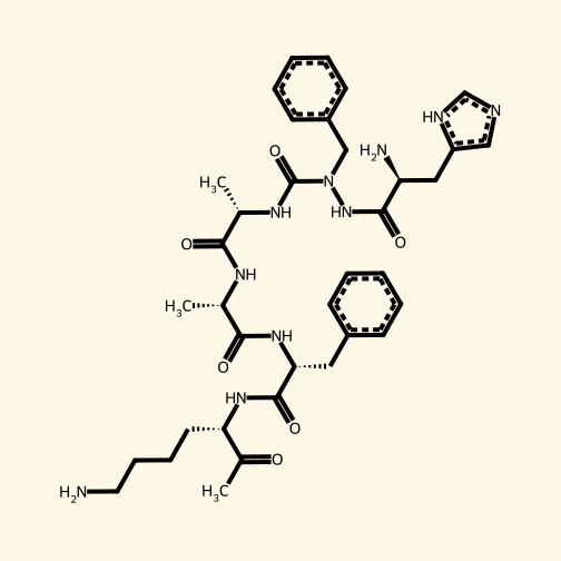 CC(=O)[C@H](CCCCN)NC(=O)[C@@H](Cc1ccccc1)NC(=O)[C@H](C)NC(=O)[C@H](C)NC(=O)N(Cc1ccccc1)NC(=O)[C@@H](N)Cc1cnc[nH]1